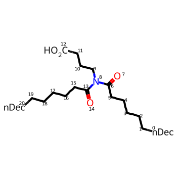 CCCCCCCCCCCCCCCC(=O)N(CCCC(=O)O)C(=O)CCCCCCCCCCCCCCC